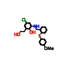 COc1ccc(Sc2ccccc2CNc2cc(Cl)cc(CCO)c2O)cc1